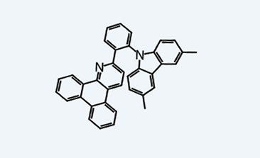 Cc1ccc2c(c1)c1cc(C)ccc1n2-c1ccccc1-c1ccc2c3ccccc3c3ccccc3c2n1